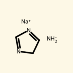 C1=NC=NC1.[NH2-].[Na+]